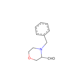 O=CC1COCCN1Cc1ccccc1